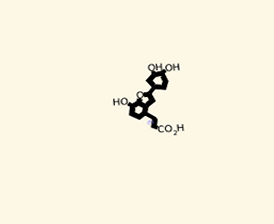 O=C(O)/C=C/c1ccc(O)c2oc(-c3ccc(O)c(O)c3)cc12